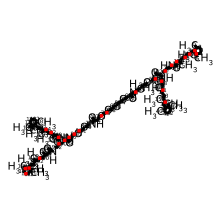 CC1=CCCC(C)(C)\C1=C/C=C/C=C/C(C)=C/C(=O)NCCCC[C@@H](NC(=O)/C=C(C)/C=C/C=C(C)/C=C/C1=C(C)CCCC1(C)C)C(=O)NCCOCCOCCNC(=O)CCOCCOCCOCCOCCC(=O)NCCOCCOCCNC(=O)[C@@H](CCCCNC(=O)/C=C(C)/C=C/C=C(C)/C=C/C1=C(C)CCCC1(C)C)NC(=O)/C=C(C)/C=C/C=C(C)/C=C/C1=C(C)CCCC1(C)C